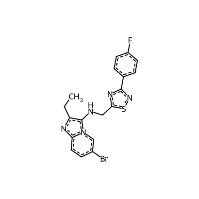 CCc1nc2ccc(Br)cn2c1NCc1nc(-c2ccc(F)cc2)ns1